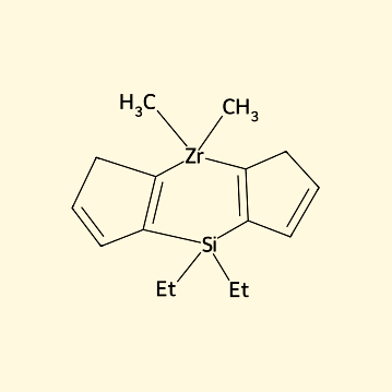 CC[Si]1(CC)C2=[C](CC=C2)[Zr]([CH3])([CH3])[C]2=C1C=CC2